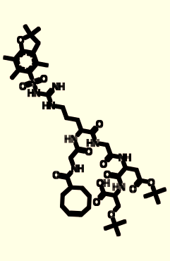 Cc1c(C)c(S(=O)(=O)NC(=N)NCCCC(NC(=O)CNC(=O)C2CC/C=C\CCC2)C(=O)NCC(=O)NC(CC(=O)OC(C)(C)C)C(=O)NC(COC(C)(C)C)C(=O)O)c(C)c2c1OC(C)(C)C2